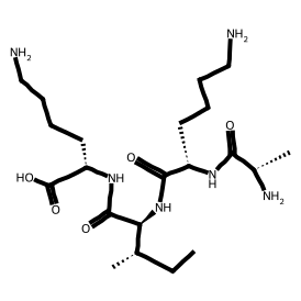 CC[C@H](C)[C@H](NC(=O)[C@H](CCCCN)NC(=O)[C@H](C)N)C(=O)N[C@@H](CCCCN)C(=O)O